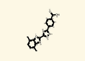 Cc1ccc(C)c2oc(-c3nc(-c4ccc(C(=O)O)cc4)no3)nc12